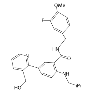 COc1ccc(CNC(=O)c2cc(-c3ncccc3CO)ccc2NCC(C)C)cc1F